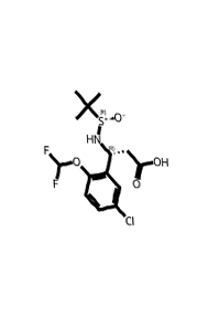 CC(C)(C)[S@+]([O-])N[C@H](CC(=O)O)c1cc(Cl)ccc1OC(F)F